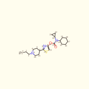 CC(C)CCN1CCC(c2nc(OC(=O)N(C3CCCCC3)C3CC3)cs2)CC1